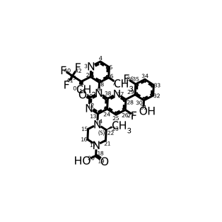 C=C(c1nccc(C)c1-n1c(=O)nc(N2CCN(C(=O)O)C[C@@H]2C)c2cc(F)c(-c3c(O)cccc3F)nc21)C(F)(F)F